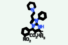 CC1=C(C(=O)O)C(c2cccc([N+](=O)[O-])c2)N2C=C(CCN3CCCCC3)N(c3ccccc3)C2N1